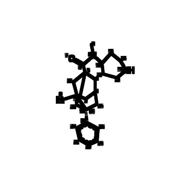 CCC12CC3CC(C(=O)N(C)C4CCNCC4)(C1)C[C@@](c1ccccc1)(C3)C2